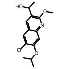 COc1nc2cc(OC(C)C)c(Cl)cc2cc1C(C)O